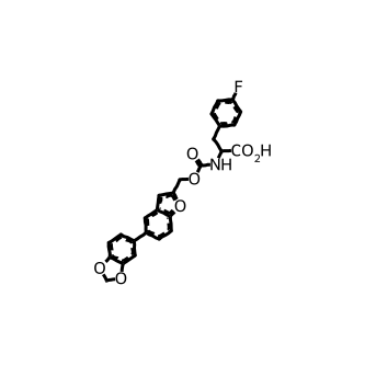 O=C(NC(Cc1ccc(F)cc1)C(=O)O)OCc1cc2cc(-c3ccc4c(c3)OCO4)ccc2o1